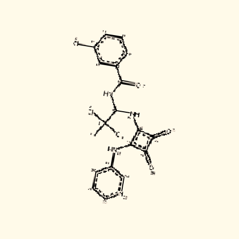 CC(Cl)(Cl)C(NC(=O)c1cccc(Cl)c1)Nc1c(Nc2cccnc2)c(=O)c1=O